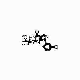 COC(=O)C(C)(C)Sc1nc2c(cnn2-c2cccc(Cl)c2)c(=O)[nH]1